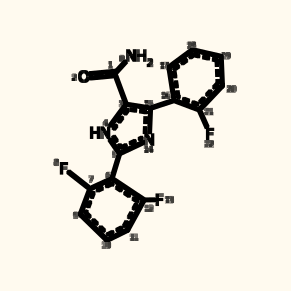 NC(=O)c1[nH]c(-c2c(F)cccc2F)nc1-c1ccccc1F